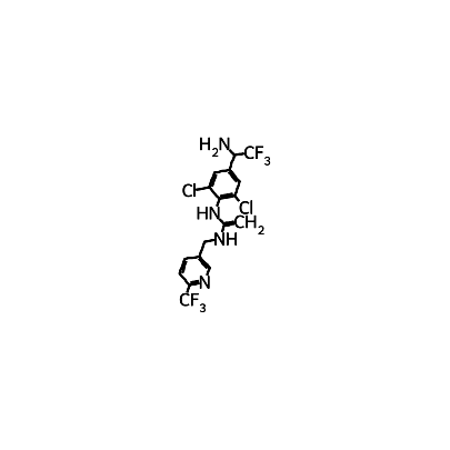 C=C(NCc1ccc(C(F)(F)F)nc1)Nc1c(Cl)cc(C(N)C(F)(F)F)cc1Cl